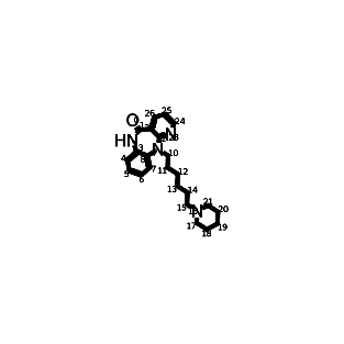 O=C1Nc2ccccc2N(CCCCCCN2CCCCC2)c2ncccc21